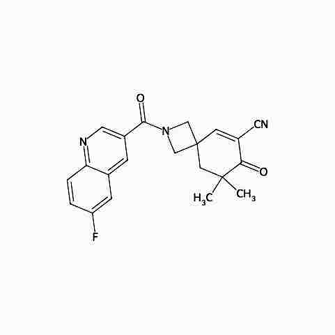 CC1(C)CC2(C=C(C#N)C1=O)CN(C(=O)c1cnc3ccc(F)cc3c1)C2